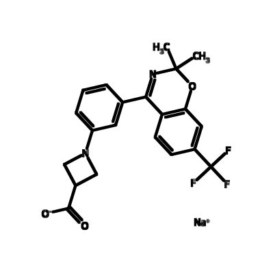 CC1(C)N=C(c2cccc(N3CC(C(=O)[O-])C3)c2)c2ccc(C(F)(F)F)cc2O1.[Na+]